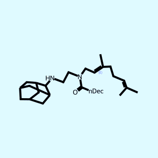 CCCCCCCCCCC(=O)N(C/C=C(\C)CCC=C(C)C)CCNC1C2CC3CC(C2)CC1C3